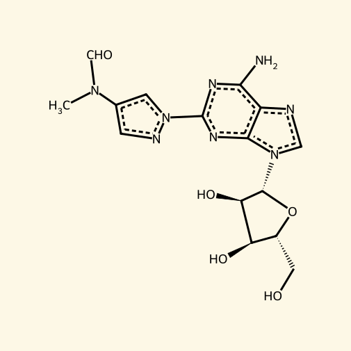 CN(C=O)c1cnn(-c2nc(N)c3ncn([C@@H]4O[C@H](CO)[C@@H](O)[C@H]4O)c3n2)c1